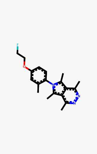 Cc1cc(OCCF)ccc1-n1c(C)c2c(C)nnc(C)c2c1C